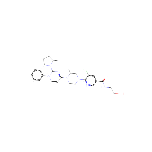 CC1CN(c2ncc(C(=O)NCCO)cc2Cl)CCN1C1=NC(N2CCCC2C)N(c2ccccc2)C=C1